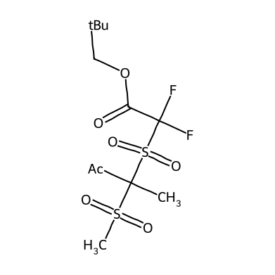 CC(=O)C(C)(S(C)(=O)=O)S(=O)(=O)C(F)(F)C(=O)OCC(C)(C)C